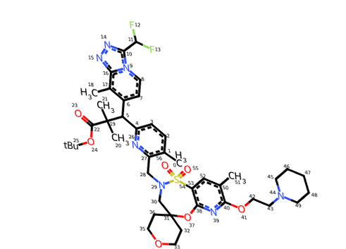 Cc1ccc(C(c2ccn3c(C(F)F)nnc3c2C)C(C)(C)C(=O)OC(C)(C)C)nc1CN1CC2(CCOCC2)Oc2nc(OCCN3CCCCC3)c(C)cc2S1(=O)=O